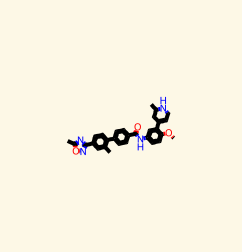 COc1ccc(NC(=O)c2ccc(-c3ccc(-c4noc(C)n4)cc3C)cc2)cc1C1=CCNC(C)C1